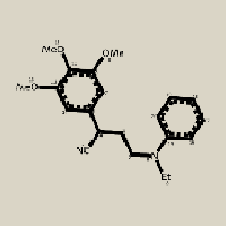 CCN(CCC(C#N)c1cc(OC)c(OC)c(OC)c1)c1ccccc1